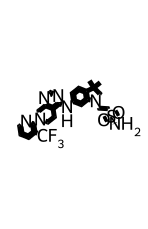 CC1(C)CN(CCS(N)(=O)=O)c2cc(Nc3ncnc4c3CCN(c3ncccc3C(F)(F)F)C4)ccc21